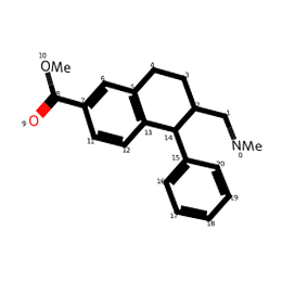 CNCC1CCc2cc(C(=O)OC)ccc2C1c1ccccc1